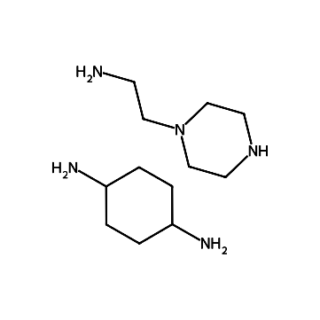 NC1CCC(N)CC1.NCCN1CCNCC1